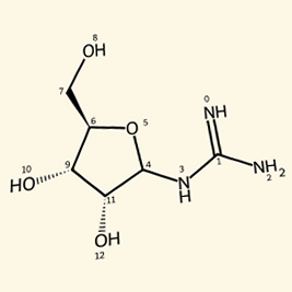 N=C(N)NC1O[C@H](CO)[C@@H](O)[C@H]1O